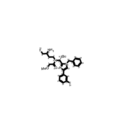 COCC(=O)N(CCC(N)CF)[C@@H](c1nc(-c2cccc(F)c2)cn1Cc1ccccc1)C(C)(C)C